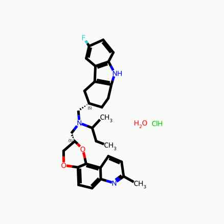 CCC(C)N(C[C@H]1CCc2[nH]c3ccc(F)cc3c2C1)C[C@H]1COc2ccc3nc(C)ccc3c2O1.Cl.O